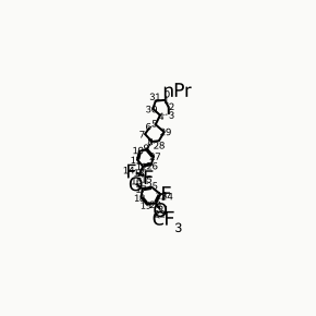 CCC[C@H]1CC[C@H]([C@H]2CC[C@H](c3ccc(C(F)(F)Oc4ccc(OC(F)(F)F)c(F)c4)cc3)CC2)CC1